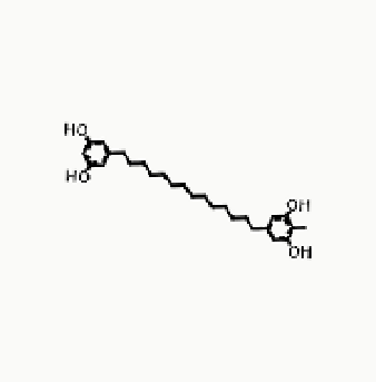 Cc1c(O)cc(CCCCCCCCCCCCCCc2cc(O)cc(O)c2)cc1O